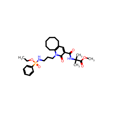 CCOP(=O)(NCCCn1c2c(cc(C(=O)NC(C)(C)C(=O)OC)c1=O)CCCCCC2)c1ccccc1